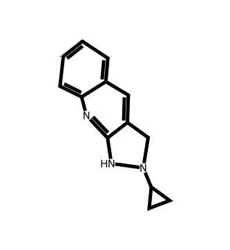 [c]1ccc2cc3c(nc2c1)NN(C1CC1)C3